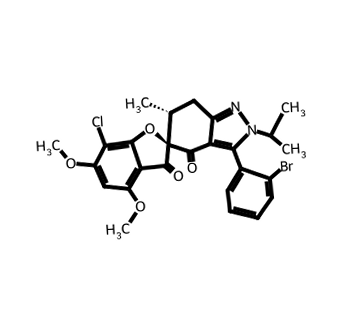 COc1cc(OC)c2c(c1Cl)O[C@]1(C2=O)C(=O)c2c(nn(C(C)C)c2-c2ccccc2Br)C[C@H]1C